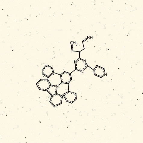 C=CC(CC=N)c1nc(-c2ccncc2)nc(-c2cc(-c3ccccc3)c(-n3c4ccccc4c4ccccc43)c(-c3ccccc3)c2)n1